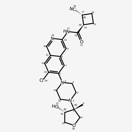 C[C@@]1(N2CCN(c3cc4cc(NC(=O)[C@@H]5CC[C@H]5C#N)ncc4cc3Cl)CC2)COC[C@@H]1O